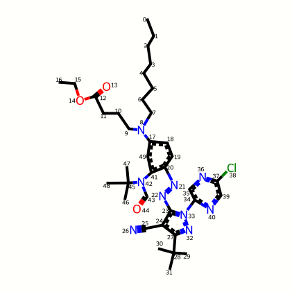 CCCCCCCCN(CCCC(=O)OCC)c1ccc(/N=N/c2c(C#N)c(C(C)(C)C)nn2-c2cnc(Cl)cn2)c(N(C=O)C(C)(C)C)c1